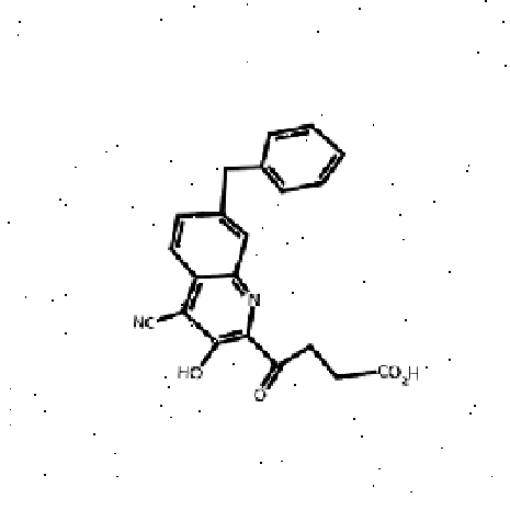 N#Cc1c(O)c(C(=O)CCC(=O)O)nc2cc(Cc3ccccc3)ccc12